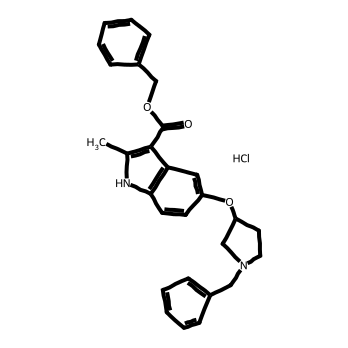 Cc1[nH]c2ccc(OC3CCN(Cc4ccccc4)C3)cc2c1C(=O)OCc1ccccc1.Cl